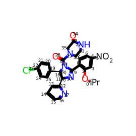 CC(C)Oc1cc([N+](=O)[O-])ccc1C1=N[C@@H](c2ccccn2)[C@@H](c2ccc(Cl)cc2)N1C(=O)N1CCNC(=O)C1